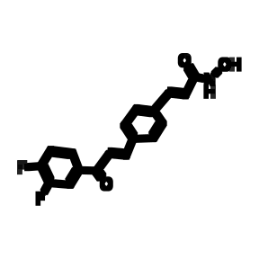 O=C(C=Cc1ccc(C=CC(=O)c2ccc(F)c(F)c2)cc1)NO